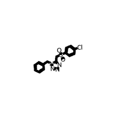 O=S(=O)(Cc1nnnn1Cc1ccccc1)c1ccc(Cl)cc1